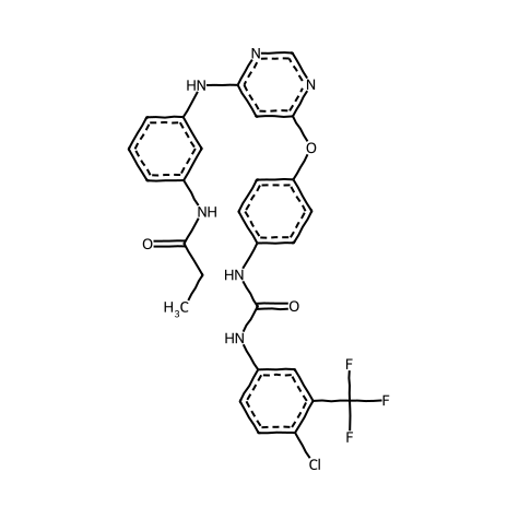 CCC(=O)Nc1cccc(Nc2cc(Oc3ccc(NC(=O)Nc4ccc(Cl)c(C(F)(F)F)c4)cc3)ncn2)c1